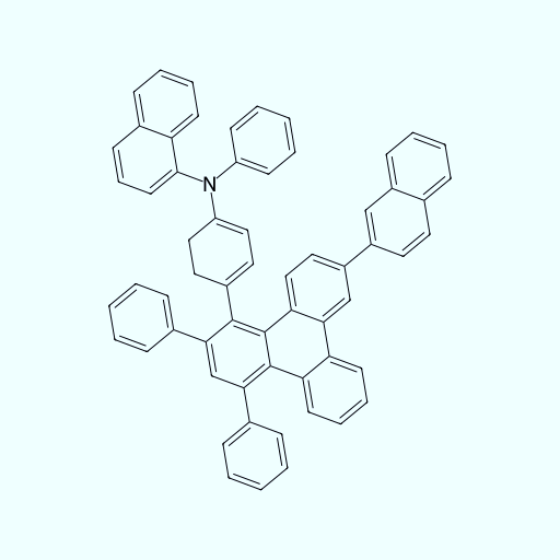 C1=C(c2c(-c3ccccc3)cc(-c3ccccc3)c3c4ccccc4c4cc(-c5ccc6ccccc6c5)ccc4c23)CCC(N(c2ccccc2)c2cccc3ccccc23)=C1